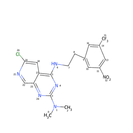 CN(C)c1nc(NCCc2cc([N+](=O)[O-])cc(C(F)(F)F)c2)c2cc(Cl)ncc2n1